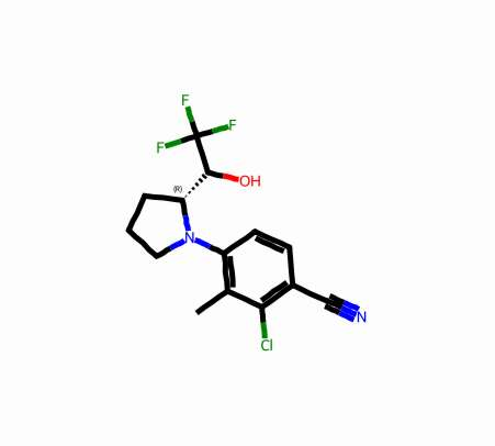 Cc1c(N2CCC[C@@H]2C(O)C(F)(F)F)ccc(C#N)c1Cl